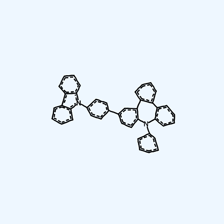 c1ccc(N2c3ccccc3-c3ccccc3-c3cc(-c4ccc(-n5c6ccccc6c6ccccc65)cc4)ccc32)cc1